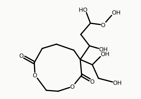 O=C1CCCC(C(O)CO)(C(O)CC(O)OO)C(=O)OCCO1